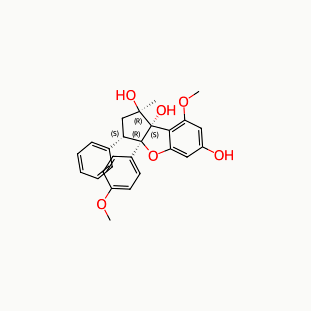 COc1ccc([C@@]23Oc4cc(O)cc(OC)c4[C@]2(O)[C@](C)(O)C[C@H]3c2ccccc2)cc1